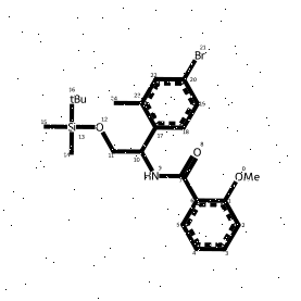 COc1ccccc1C(=O)NC(CO[Si](C)(C)C(C)(C)C)c1ccc(Br)cc1C